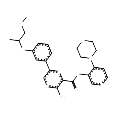 CC(CNI)Oc1cccc(-c2cnc(N)c(C(=O)Nc3cnccc3N3CCOCC3)n2)c1